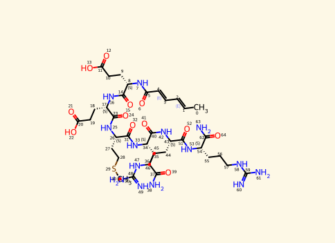 C/C=C/C=C/C(=O)N[C@@H](CCC(=O)O)C(=O)N[C@@H](CCC(=O)O)C(=O)N[C@@H](CCSC)C(=O)N[C@@H](CCC(N)=O)C(=O)N[C@@H](CCCNC(=N)N)C(=O)N[C@@H](CCCNC(=N)N)C(N)=O